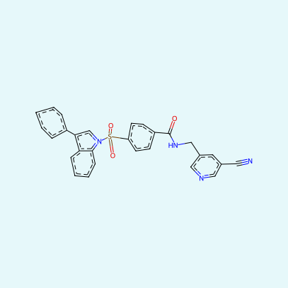 N#Cc1cncc(CNC(=O)c2ccc(S(=O)(=O)n3cc(-c4ccccc4)c4ccccc43)cc2)c1